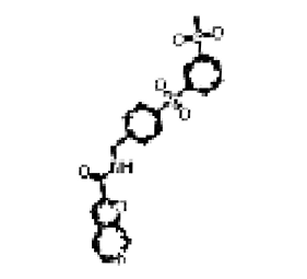 CS(=O)(=O)c1cccc(S(=O)(=O)c2ccc(CNC(=O)c3cc4ccncc4o3)cc2)c1